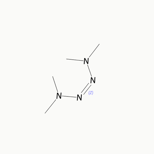 CN(C)/N=N\N(C)C